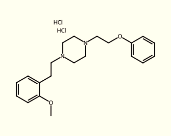 COc1ccccc1CCN1CCN(CCOc2ccccc2)CC1.Cl.Cl